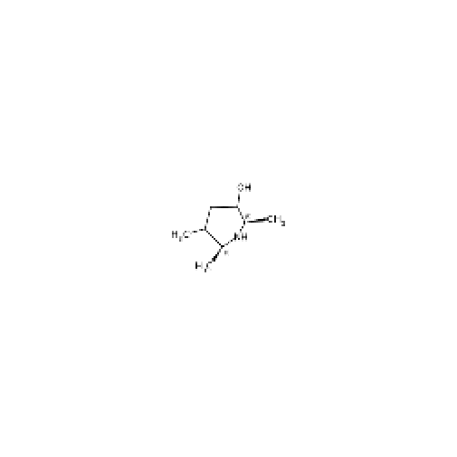 CC1CC(O)[C@@H](C)N[C@H]1C